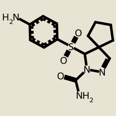 NC(=O)N1N=CC2(CCCC2)C1S(=O)(=O)c1ccc(N)cc1